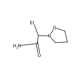 CCC(C(N)=O)N1CCCO1